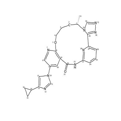 C[C@H]1CCCOc2ncc(-n3cnc(C4CC4)c3)cc2C(=O)Nc2cccc(n2)-c2nncn21